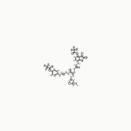 CCN(CC)CCN(CCNCCc1ccc(OC(=O)C(F)(F)F)c2[nH]c(=O)sc12)C(=O)CCOCCc1ccc(OC(=O)C(F)(F)F)cc1